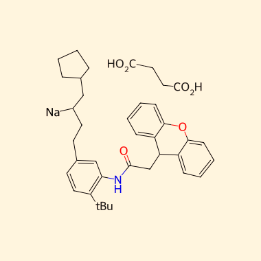 CC(C)(C)c1ccc(CC[CH]([Na])CC2CCCC2)cc1NC(=O)CC1c2ccccc2Oc2ccccc21.O=C(O)CCC(=O)O